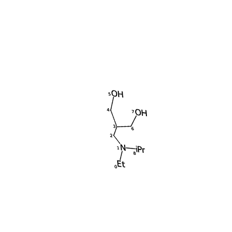 CCN(CC(CO)CO)C(C)C